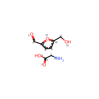 NCC(=O)O.O=Cc1ccc(CO)o1